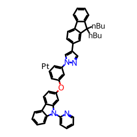 CCCCC1(CCCC)c2ccccc2-c2ccc(-c3cnn(-c4cccc(Oc5ccc6c7ccccc7n(-c7ccccn7)c6c5)c4)c3)cc21.[Pt]